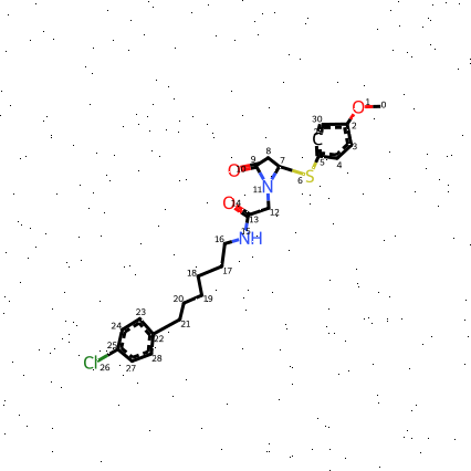 COc1ccc(SC2CC(=O)N2CC(=O)NCCCCCCc2ccc(Cl)cc2)cc1